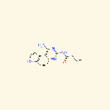 CCCC(=O)Nc1nc(N)c2c(ccc3[nH]ccc32)n1